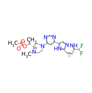 C=C(OS(C)(=O)=O)[C@@H]1CN(c2cc(-c3cnc(/C=C\C(=N)C(F)F)[nH]3)ncn2)CCN1C